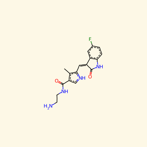 Cc1c(C(=O)NCCN)c[nH]c1/C=C1\C(=O)Nc2ccc(F)cc21